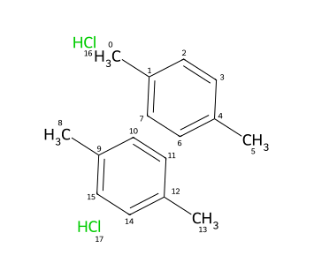 Cc1ccc(C)cc1.Cc1ccc(C)cc1.Cl.Cl